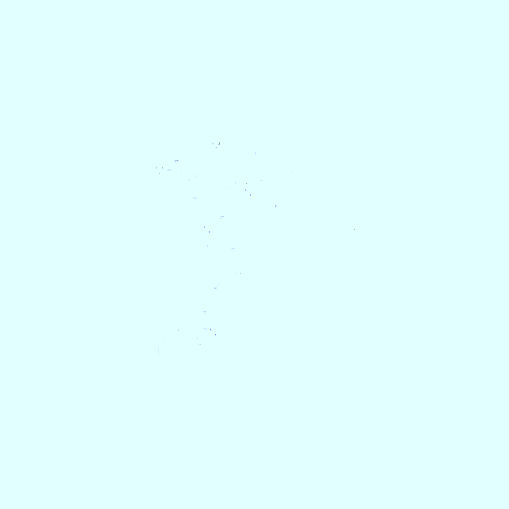 COc1cc(NC(=O)c2cc(=O)c3cc(C)ccc3o2)c(C(=O)Nc2ccc(CCNC(=O)OC(C)(C)C)cc2)cc1OC